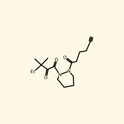 C#CCCCC(=O)N1CCCCN1C(=O)C(=O)C(C)(C)CC